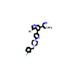 CN/C=C(\C=N)c1cc(-c2ccc(N3CCN(Cc4cccc(F)c4)CC3)nc2)c2c(C#N)cnn2c1